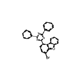 Brc1ccc(-c2nc(-c3ccccc3)nc(-c3ccccc3)n2)c2c1oc1ccccc12